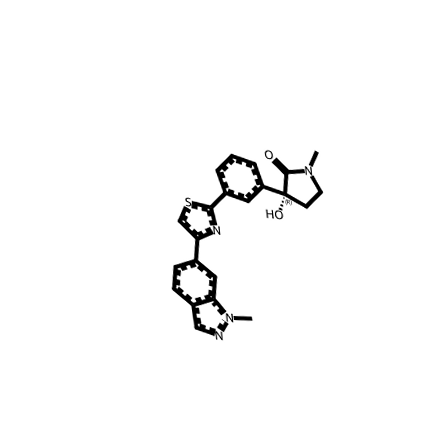 CN1CC[C@@](O)(c2cccc(-c3nc(-c4ccc5cnn(C)c5c4)cs3)c2)C1=O